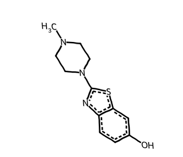 CN1CCN(c2nc3ccc(O)cc3s2)CC1